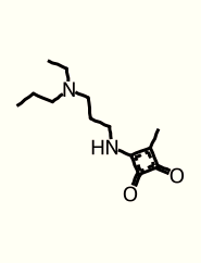 CCCN(CC)CCCNc1c(C)c(=O)c1=O